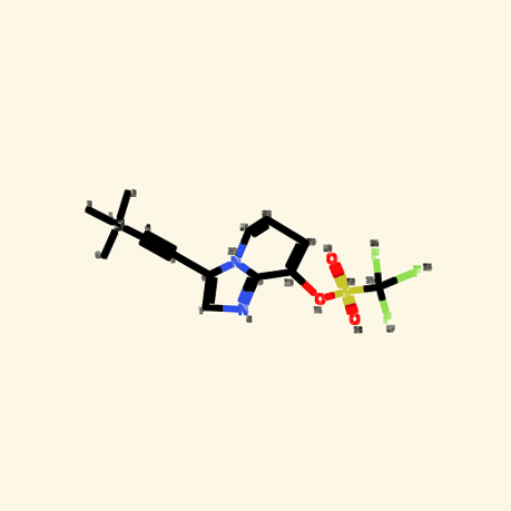 C[Si](C)(C)C#Cc1cnc2c(OS(=O)(=O)C(F)(F)F)cccn12